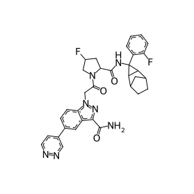 NC(=O)c1nn(CC(=O)N2CC(F)CC2C(=O)NC2(c3ccccc3F)C3C4CCC(C4)C32)c2ccc(-c3ccnnc3)cc12